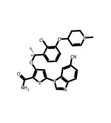 C[C@@H](Oc1cc(-n2cnc3ccc(C#N)cc32)sc1C(N)=O)c1cccc(OC2C=CN(C)CC2)c1Cl